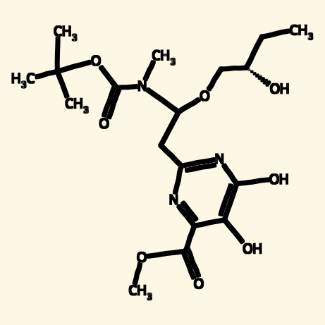 CC[C@H](O)COC(Cc1nc(O)c(O)c(C(=O)OC)n1)N(C)C(=O)OC(C)(C)C